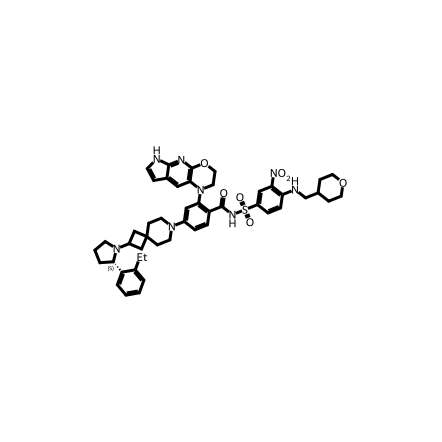 CCc1ccccc1[C@@H]1CCCN1C1CC2(CCN(c3ccc(C(=O)NS(=O)(=O)c4ccc(NCC5CCOCC5)c([N+](=O)[O-])c4)c(N4CCOc5nc6[nH]ccc6cc54)c3)CC2)C1